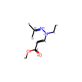 CCN(C=CC(=O)OC)N=C(C)C